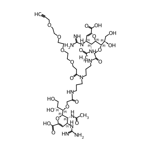 C#CCOCCOCCOCCOCCC(=O)N(CCCNC(=O)CO[C@@H]([C@@H]1OC(C(=O)O)=C[C@H](NC(=N)N)[C@H]1NC(C)=O)[C@H](O)CO)CCCNC(=O)CO[C@@H]([C@@H]1OC(C(=O)O)=C[C@H](NC(=N)N)[C@H]1NC(C)=O)[C@H](O)CO